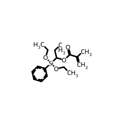 C=C(C)C(=O)OC(CC)[Si](OCC)(OCC)c1ccccc1